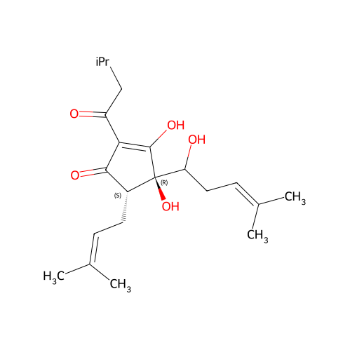 CC(C)=CCC(O)[C@@]1(O)C(O)=C(C(=O)CC(C)C)C(=O)[C@H]1CC=C(C)C